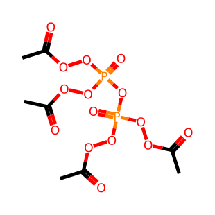 CC(=O)OOP(=O)(OOC(C)=O)OP(=O)(OOC(C)=O)OOC(C)=O